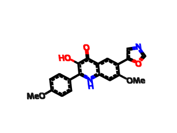 COc1ccc(-c2[nH]c3cc(OC)c(-c4cnco4)cc3c(=O)c2O)cc1